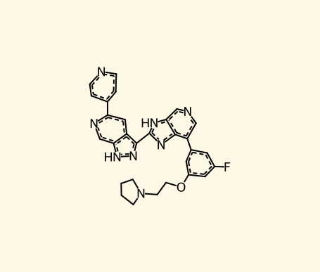 Fc1cc(OCCN2CCCC2)cc(-c2cncc3[nH]c(-c4n[nH]c5cnc(-c6ccncc6)cc45)nc23)c1